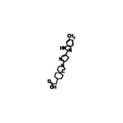 Cc1ccc2nc(C3=CN=C(N4CCC5(CCC(CC(=O)O)CC5)CC4)CC3)[nH]c2c1